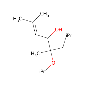 CC(C)=CC(O)C(C)(CC(C)C)OC(C)C